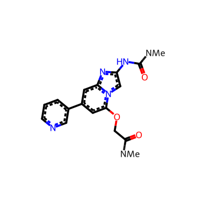 CNC(=O)COc1cc(-c2cccnc2)cc2nc(NC(=O)NC)cn12